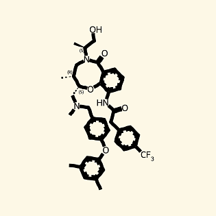 Cc1cc(C)cc(Oc2ccc(CN(C)C[C@H]3Oc4c(NC(=O)Cc5ccc(C(F)(F)F)cc5)cccc4C(=O)N([C@@H](C)CO)C[C@H]3C)cc2)c1